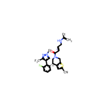 C=C(CC)NC/C=C/C(=O)N1Cc2sc(C#N)cc2[C@H](c2cccc(F)c2-c2cn(CC)nc2C(F)(F)F)C1